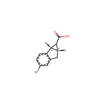 O=C(O)C1[C@H]2c3ccc(Br)cc3C[C@@H]12